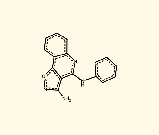 Nc1noc2c1c(Nc1ccccc1)nc1ccccc12